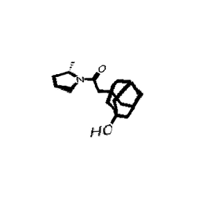 C[C@H]1CCCN1C(=O)CC12CC3CC(CC(O)(C3)C1)C2